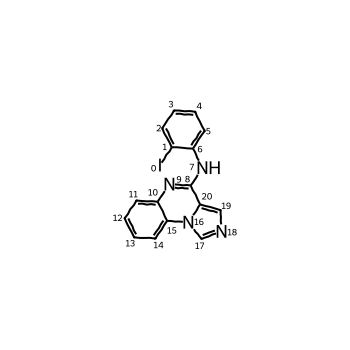 Ic1ccccc1Nc1nc2ccccc2n2cncc12